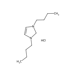 CCCCN1C=CN(CCCC)C1.Cl